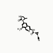 CC1CNC(=O)N1c1cc(N)c2cnc(NC(=O)[C@@H]3C[C@H]3C#N)cc2c1